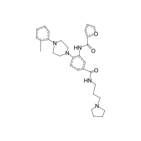 Cc1ccccc1N1CCN(c2ccc(C(=O)NCCCN3CCCC3)cc2NC(=O)c2ccco2)CC1